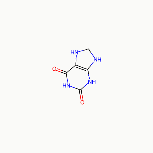 O=c1[nH]c2c(c(=O)[nH]1)NCN2